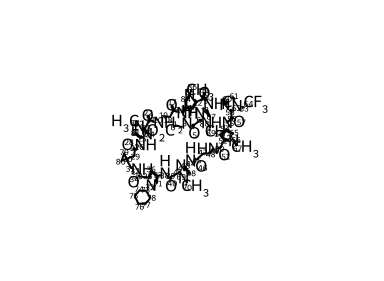 CCOC(=O)CCNC(=O)c1nc(NC(=O)c2cc(NC(=O)CCNC(=O)c3nc(NC(=O)CC4(CNC(=O)c5cc(NC(=O)c6nc(NC(=O)CCNC(=O)c7cc(NC(=O)c8nccn8CC(F)(F)F)cn7C)cn6C)cn5C5CCCCC5)CC4)cn3C)cn2C)cn1C